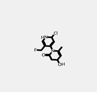 CC1=CC(O)CC(=O)N1C1=CC(Cl)NC=C1CF